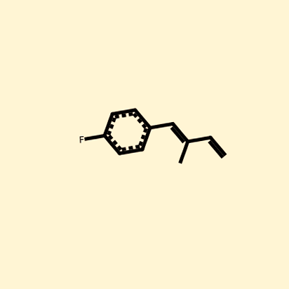 C=C/C(C)=C/c1ccc(F)cc1